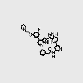 O=C(Cc1ccccc1)Nc1cncc(-c2ccc3[nH]nc(-c4cc5c(-c6cc(F)cc(OCCN7CCCC7)c6)ccnc5[nH]4)c3n2)c1